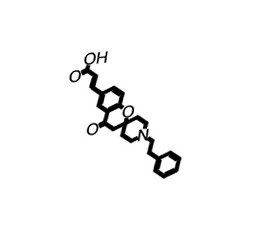 O=C(O)C=Cc1ccc2c(c1)C(=O)CC1(CCN(CCc3ccccc3)CC1)O2